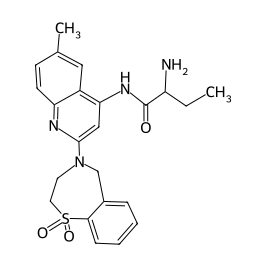 CCC(N)C(=O)Nc1cc(N2CCS(=O)(=O)c3ccccc3C2)nc2ccc(C)cc12